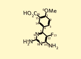 COc1ccc(-c2nc(N)nc(N)c2F)cc1C(=O)O